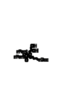 CCCCCCCCCCCCCCCC(OCC(O)CO)(C(=O)CCCCC)C(=O)CCCCC